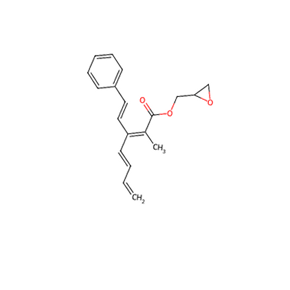 C=CC=CC(C=Cc1ccccc1)=C(C)C(=O)OCC1CO1